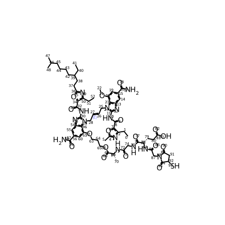 CCc1nc(C)oc1C(=O)Nc1nc2cc(C(N)=O)cc(OC)c2n1C/C=C/Cn1c(NC(=O)c2oc(CCC(CC)CCCCC(C)C)nc2CC)nc2cc(C(N)=O)cc(OCCCOC(=O)[C@@H](C)NC(=O)CNC(=O)[C@H](CCC(=O)O)NC(=O)CN3C(=O)CC(S)C3=O)c21